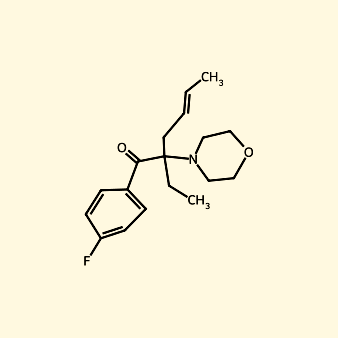 C/C=C/CC(CC)(C(=O)c1ccc(F)cc1)N1CCOCC1